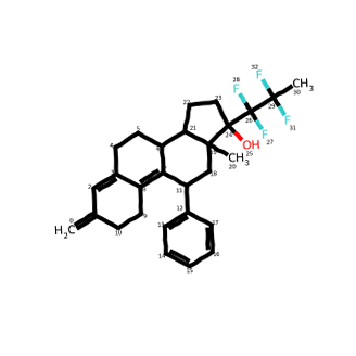 C=C1C=C2CCC3C(=C2CC1)C(c1ccccc1)CC1(C)C3CCC1(O)C(F)(F)C(C)(F)F